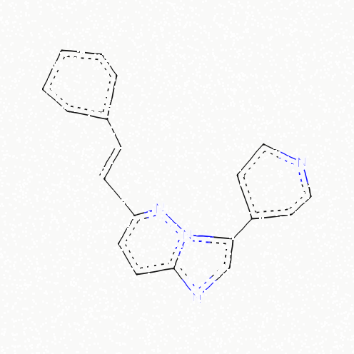 C(=Cc1ccc2ncc(-c3ccncc3)n2n1)c1ccccc1